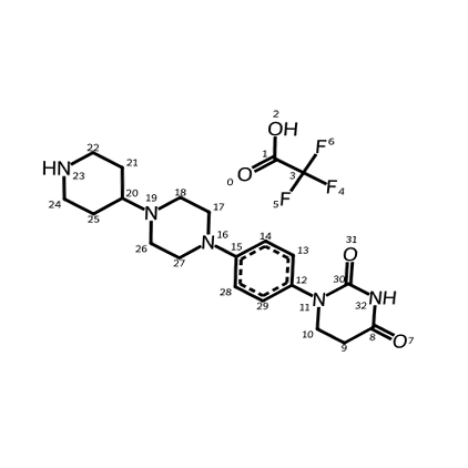 O=C(O)C(F)(F)F.O=C1CCN(c2ccc(N3CCN(C4CCNCC4)CC3)cc2)C(=O)N1